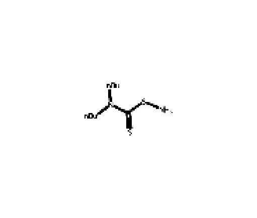 CCCCN(CCCC)C(=S)SN